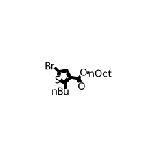 CCCCCCCCOC(=O)c1cc(Br)sc1CCCC